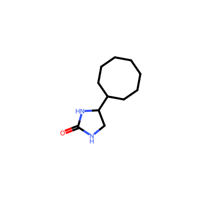 O=C1NCC(C2CCCCCCC2)N1